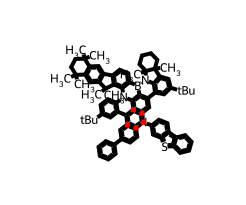 CC(C)(C)c1ccc(N2c3cc(N(c4ccc(-c5ccccc5)cc4)c4ccc5c(c4)sc4ccccc45)cc4c3B(c3ccc5c(c32)C(C)(C)c2cc3c(cc2-5)C(C)(C)CCC3(C)C)N2c3c-4cc(C(C)(C)C)cc3C3(C)CCCCC23C)c(-c2ccccc2)c1